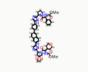 COC(=O)N[C@H](C(=O)N1CC2(C[C@H]1c1ncc(-c3ccc4cc(-c5ccc(-c6cnc(C7CCCN7C(=O)[C@H](NC(=O)OC)c7ccccc7)[nH]6)cc5)ccc4c3)[nH]1)OCCO2)C1CCOCC1